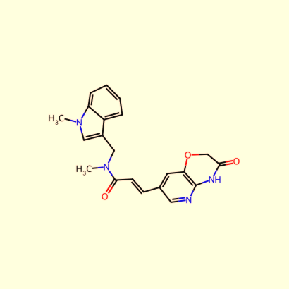 CN(Cc1cn(C)c2ccccc12)C(=O)C=Cc1cnc2c(c1)OCC(=O)N2